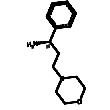 N[C@H](CCN1CCOCC1)c1ccccc1